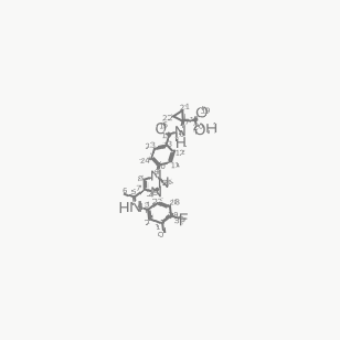 Cc1cc(NC(C)c2cn(-c3ccc(C(=O)NC4(C(=O)O)CC4)cc3)nn2)ccc1F